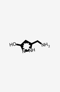 NCc1cc(O)n[nH]1